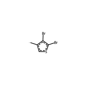 [CH2]c1csc(Br)c1Br